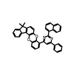 CC1(C)c2ccccc2-c2c1ccc1c2Oc2cccc(-c3cc(-c4ccccc4)nc(-c4cccc5ccccc45)n3)c2O1